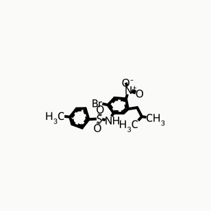 Cc1ccc(S(=O)(=O)Nc2cc(CC(C)C)c([N+](=O)[O-])cc2Br)cc1